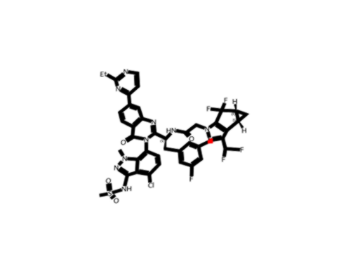 CCc1nccc(-c2ccc3c(=O)n(-c4ccc(Cl)c5c(NS(C)(=O)=O)nn(C)c45)c([C@H](Cc4cc(F)cc(F)c4)NC(=O)Cn4nc(C(F)F)c5c4C(F)(F)[C@@H]4C[C@H]54)nc3c2)n1